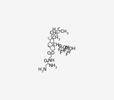 CC(C)CCC[C@@H](C)[C@H]1CCC2C3CC=C4CC(OC(=O)CCNC(=O)C(N)CCN)CC[C@]4(C)C3CC[C@@]21C.O=C(O)C(F)(F)F.O=C(O)C(F)(F)F